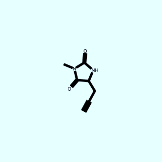 C#CCC1NC(=O)N(C)C1=O